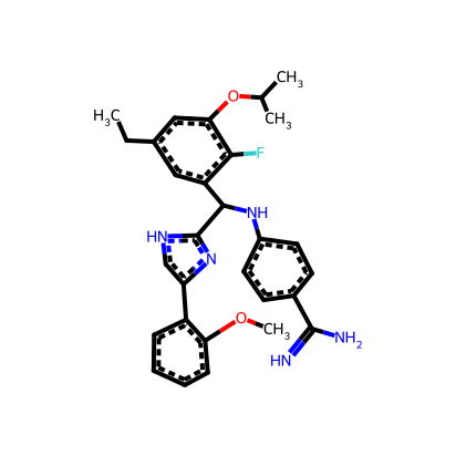 CCc1cc(OC(C)C)c(F)c(C(Nc2ccc(C(=N)N)cc2)c2nc(-c3ccccc3OC)c[nH]2)c1